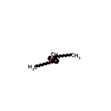 CCCCCCCCCCCC(C)n1ccnc1C1(CCCCCCCCCCC)C=CC=CC1